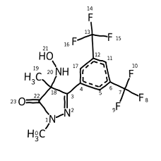 CN1N=C(c2cc(C(F)(F)F)cc(C(F)(F)F)c2)C(C)(NO)C1=O